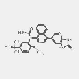 COc1ccc(C(C)(C)C)cc1N(C(N)=O)c1ccc(-c2cnc3[nH]c(=O)[nH]c3c2)c2ccccc12